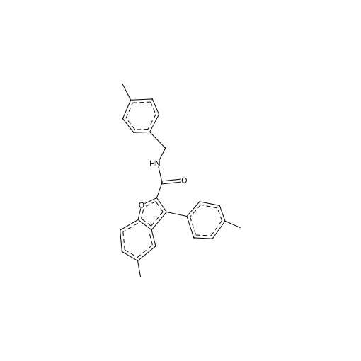 Cc1ccc(CNC(=O)c2oc3ccc(C)cc3c2-c2ccc(C)cc2)cc1